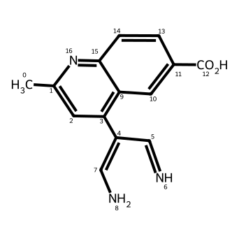 Cc1cc(/C(C=N)=C/N)c2cc(C(=O)O)ccc2n1